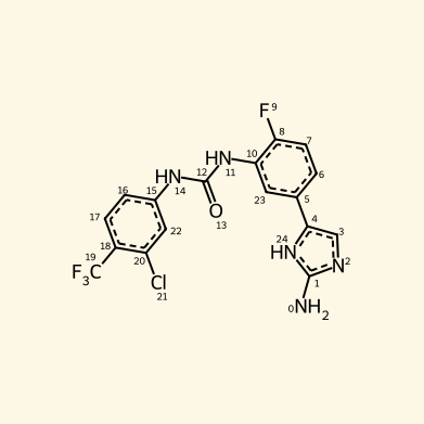 Nc1ncc(-c2ccc(F)c(NC(=O)Nc3ccc(C(F)(F)F)c(Cl)c3)c2)[nH]1